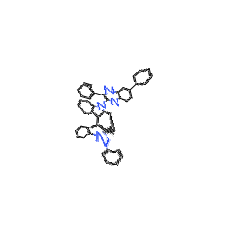 c1ccc(-c2ccc3nc(-n4c5ccccc5c5c6c7ccccc7n(-c7ccccc7)c6ccc54)c(-c4ccccc4)nc3c2)cc1